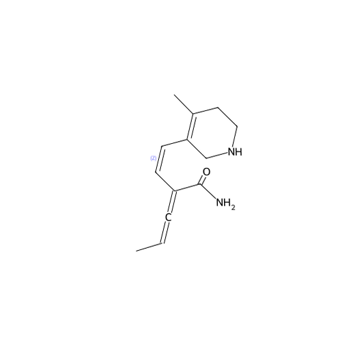 CC=C=C(/C=C\C1=C(C)CCNC1)C(N)=O